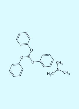 CN(C)C.c1ccc(OB(Oc2ccccc2)Oc2ccccc2)cc1